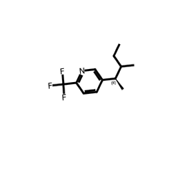 CCC(C)[C@@H](C)c1ccc(C(F)(F)F)nc1